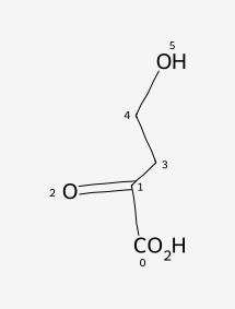 O=C(O)C(=O)CCO